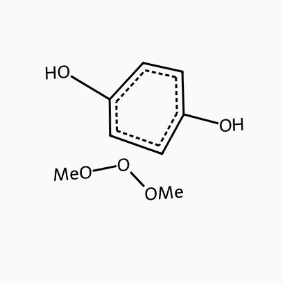 COOOC.Oc1ccc(O)cc1